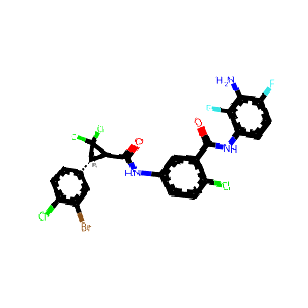 Nc1c(F)ccc(NC(=O)c2cc(NC(=O)C3[C@H](c4ccc(Cl)c(Br)c4)C3(Cl)Cl)ccc2Cl)c1F